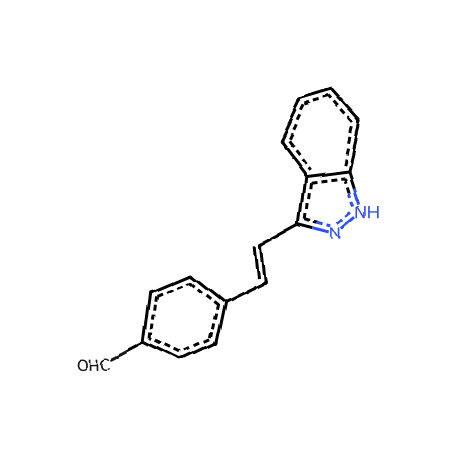 O=Cc1ccc(/C=C/c2n[nH]c3ccccc23)cc1